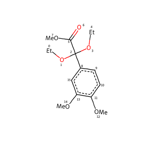 CCOC(OCC)(C(=O)OC)c1ccc(OC)c(OC)c1